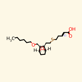 CCCCCCOC[C@H]1[C@@H](CCSCC/C=C/C(=O)O)[C@H]2CC[C@@H]1O2